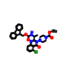 CC(NC(=O)OCC1c2ccccc2-c2ccccc21)c1nc2cccc(Cl)c2c(=O)n1N1CCN(C(=O)OC(C)(C)C)CC1